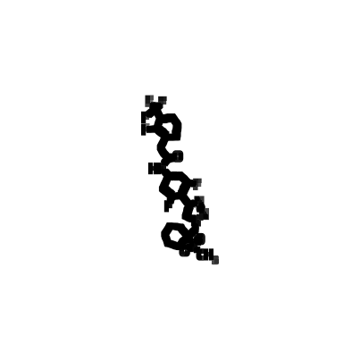 CS(=O)(=O)C1(Cn2cc(-c3c(F)cc(NC(=O)Cc4cccc(C(F)(F)F)c4F)cc3F)nn2)CCCCC1